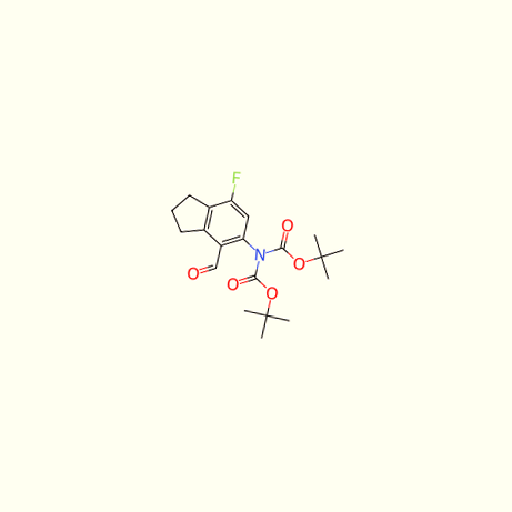 CC(C)(C)OC(=O)N(C(=O)OC(C)(C)C)c1cc(F)c2c(c1C=O)CCC2